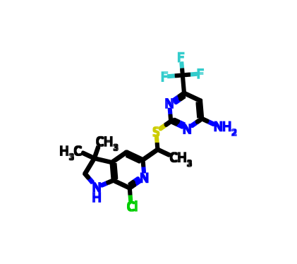 CC(Sc1nc(N)cc(C(F)(F)F)n1)c1cc2c(c(Cl)n1)NCC2(C)C